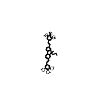 CCCC1(C)c2cc(/C=C/c3cc(OC)c(OC)c(OC)c3)ccc2-c2ccc(/C=C/c3cc(OC)c(OC)c(OC)c3)cc21